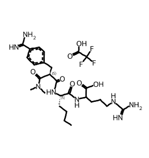 CCCC[C@H](NC(=O)[C@H](Cc1ccc(C(=N)N)cc1)C(=O)N(C)C)C(=O)NC(CCCNC(=N)N)C(=O)O.O=C(O)C(F)(F)F